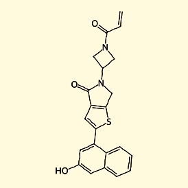 C=CC(=O)N1CC(N2Cc3sc(-c4cc(O)cc5ccccc45)cc3C2=O)C1